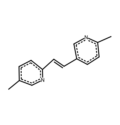 Cc1ccc(C=Cc2ccc(C)nc2)nc1